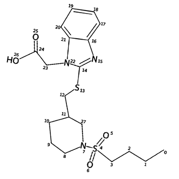 CCCCS(=O)(=O)N1CCCC(CSc2nc3ccccc3n2CC(=O)O)C1